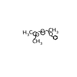 CCCC1C[C@H](C)C[C@H](CC2CCC[C@H](C[C@@H](C)COCc3ccccc3)O2)O1